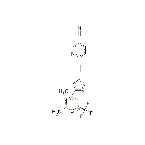 C[C@]1(c2cc(C#Cc3ccc(C#N)cn3)cs2)C[C@@H](C(F)(F)F)OC(N)=N1